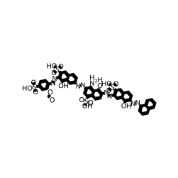 Nc1c(N=Nc2ccc3cc(S(=O)(=O)O)c(N=Nc4ccc(S(=O)(=O)O)cc4OC=O)c(O)c3c2)cc(S(=O)(=O)O)c2ccc(N=Nc3cc4c(O)c(N=Nc5cccc6ccccc56)ccc4cc3S(=O)(=O)O)c(O)c12